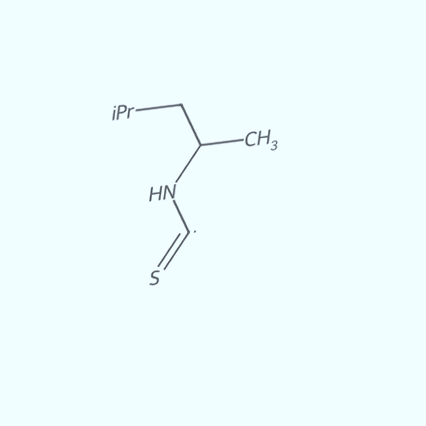 CC(C)CC(C)N[C]=S